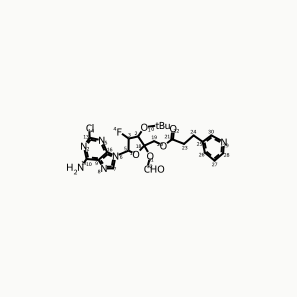 CC(C)(C)OC1C(F)C(n2cnc3c(N)nc(Cl)nc32)OC1(COC(=O)CCc1cccnc1)OC=O